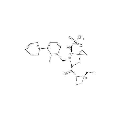 CS(=O)(=O)N[C@@H]1[C@H](Cc2cccc(-c3ccccc3)c2F)N(C(=O)C2CC[C@@H]2CF)CC12CC2